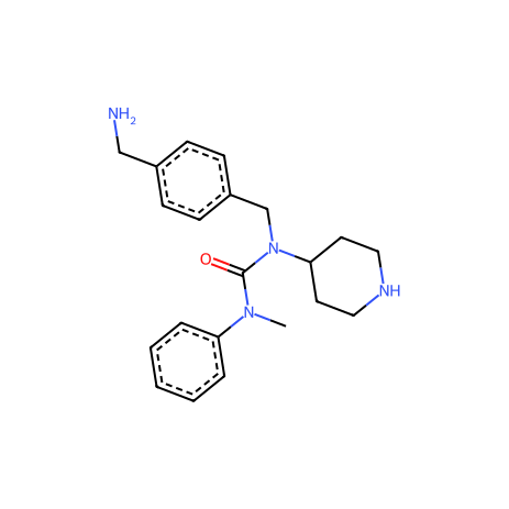 CN(C(=O)N(Cc1ccc(CN)cc1)C1CCNCC1)c1ccccc1